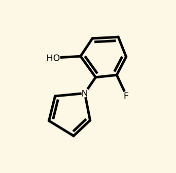 Oc1cccc(F)c1-n1cccc1